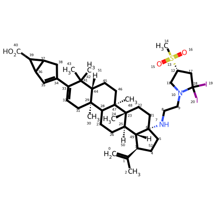 C=C(C)[C@@H]1CC[C@]2(NCCN3C[C@H](S(C)(=O)=O)CC3(I)I)CC[C@]3(C)[C@H](CCC4[C@@]5(C)CC=C(C6=CC7C(C6)C7C(=O)O)C(C)(C)[C@@H]5CC[C@]43C)[C@@H]12